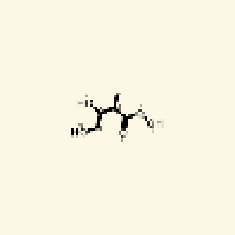 CC(C(=O)OO)C(O)CO